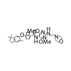 COc1nc(NCCN2CCOCC2)nc(OC)c1NC(=O)c1ccc(Oc2cc3c(cc2C)CCC3(C)C)o1